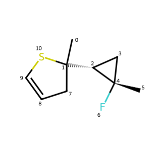 CC1([C@@H]2C[C@]2(C)F)CC=CS1